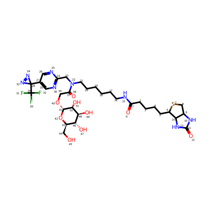 O=C(CCCCC1SCC2NC(=O)NC21)NCCCCCCN(Cc1ncc(C2(C(F)(F)F)N=N2)cn1)C(=O)CO[C@H]1O[C@H](CO)[C@@H](O)[C@H](O)[C@@H]1O